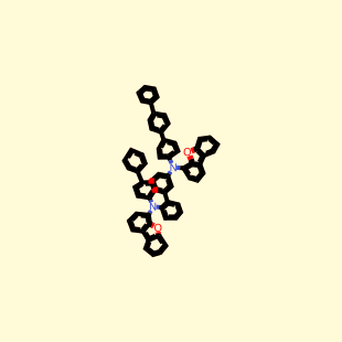 c1ccc(-c2ccc(-c3ccc(N(c4cccc(-c5ccccc5N(c5ccc(-c6ccccc6)cc5)c5cccc6c5oc5ccccc56)c4)c4cccc5c4oc4ccccc45)cc3)cc2)cc1